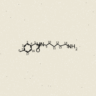 Cc1ccc(CC(=O)NCCCCCCN)cc1